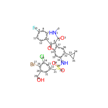 CNC(=O)c1c(-c2ccc(F)cc2)oc2cc(NS(=O)(=O)Cc3cc(Cl)c(Br)c(CO)c3)c(C3CC3)cc12